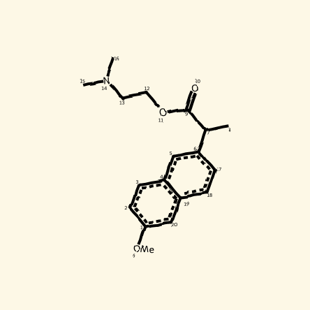 COc1ccc2cc(C(C)C(=O)OCCN(C)C)ccc2c1